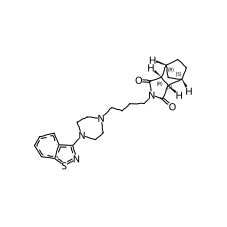 O=C1[C@@H]2[C@@H]3CC[C@@H](C3)[C@@H]2C(=O)N1CCCCN1CCN(c2nsc3ccccc23)CC1